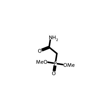 COP(=O)(CC(N)=O)OC